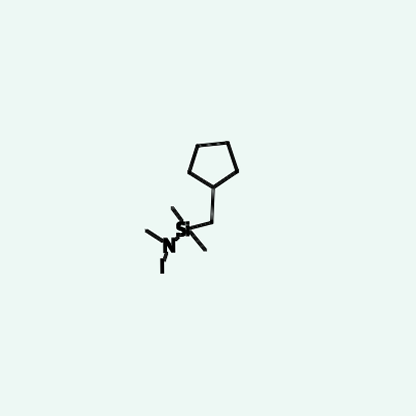 CN(I)[Si](C)(C)CC1CCCC1